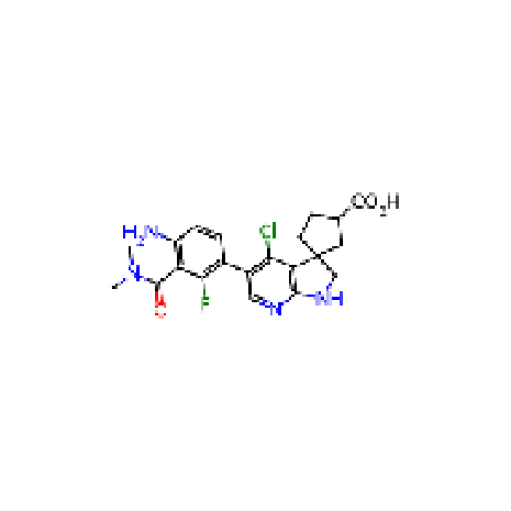 CN(C)C(=O)c1c(N)ccc(-c2cnc3c(c2Cl)C2(CCC(C(=O)O)C2)CN3)c1F